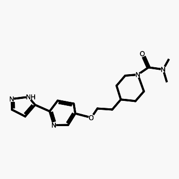 CN(C)C(=O)N1CCC(CCOc2ccc(-c3ccn[nH]3)nc2)CC1